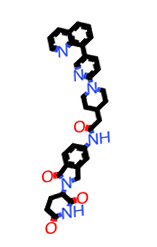 O=C1CCC(N2Cc3cc(NC(=O)CC4CCN(c5ccc(-c6cccc7cccnc67)cn5)CC4)ccc3C2=O)C(=O)N1